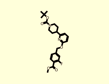 COC(=O)c1ccc(COc2cccc(C3CCN(C(=O)OC(C)(C)C)CC3)n2)cc1F